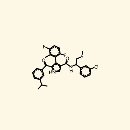 CSCC(NC(=O)c1c[nH]c(C(=O)c2cccc(C(C)C)c2)c1-c1c(F)ccc(F)c1C)c1cccc(Cl)c1